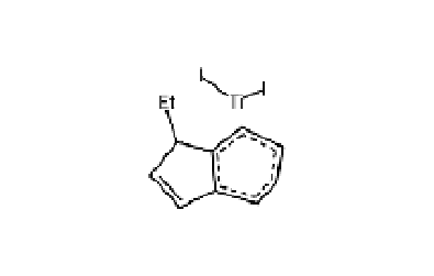 CC[C]1C=Cc2ccccc21.[I][Ti][I]